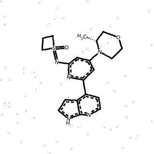 C[C@@H]1COCCN1c1cc(N=S2(=O)CCC2)nc(-c2ccnc3[nH]ccc23)c1